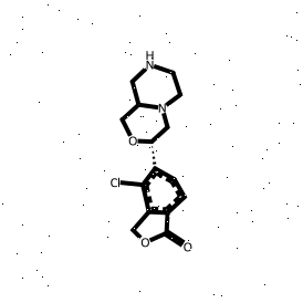 O=C1OCc2c1ccc([C@H]1CN3CCNCC3CO1)c2Cl